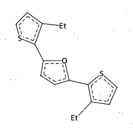 CCc1ccsc1-c1ccc(-c2sccc2CC)o1